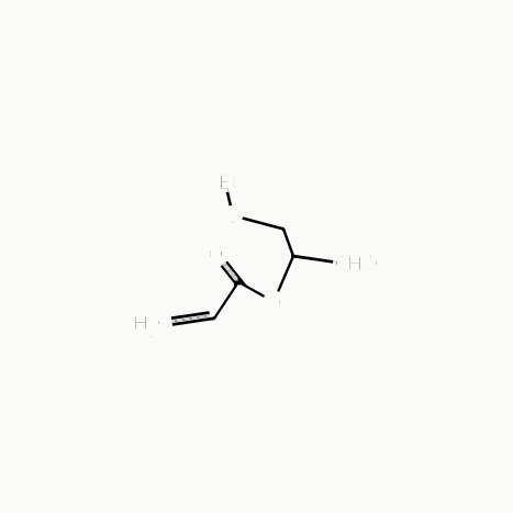 C=CC(=O)OC(C=O)COCC